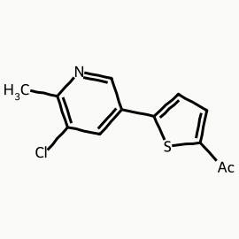 CC(=O)c1ccc(-c2cnc(C)c(Cl)c2)s1